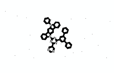 C1=Cc2c(n(-c3ccccc3)c3cc4c5ccccc5n(-c5nc(-c6cncnc6)nc(-c6cc(-c7ccccc7)cc(-c7ccccc7)c6)n5)c4cc23)CC1